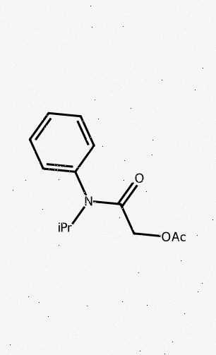 CC(=O)OCC(=O)N(c1ccccc1)C(C)C